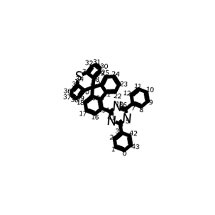 c1ccc(-c2nc(-c3ccccc3)nc(-c3cccc4c3-c3ccccc3C43c4ccccc4Sc4ccccc43)n2)cc1